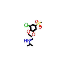 CC(C)NC[C@H]1COc2c(Cl)cc(S(C)(=O)=O)cc2O1